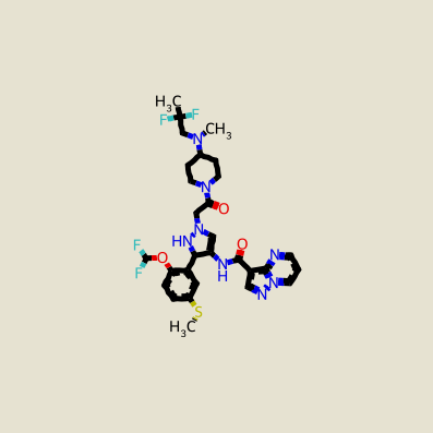 CSc1ccc(OC(F)F)c(C2NN(CC(=O)N3CCC(N(C)CC(C)(F)F)CC3)C=C2NC(=O)c2cnn3cccnc23)c1